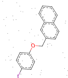 Ic1ccc(OCc2ccc3ccccc3c2)cc1